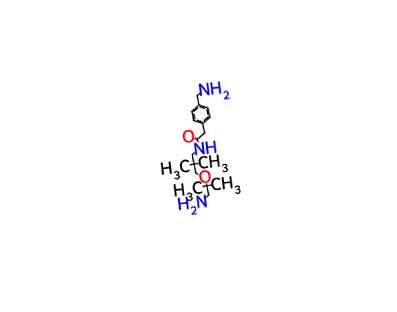 CC(C)(CNC(=O)Cc1ccc(CN)cc1)COC(C)(C)CN